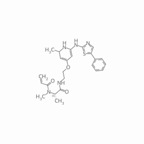 C=CC(=O)N(C)[C@@H](C)C(=O)NCCOC1=CC(C)NC(Nc2ncc(-c3ccccc3)s2)=C1